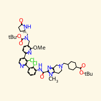 COc1nc(-c2ccnc(-c3cccc(NC(=O)c4nc5c(n4C)CCN(CC4CCC(C(=O)OC(C)(C)C)CC4)C5)c3Cl)c2Cl)ccc1CN(C[C@@H]1CCC(=O)N1)C(=O)OC(C)(C)C